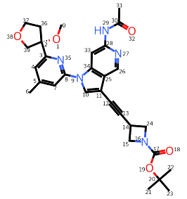 CO[C@@]1(c2cc(C)cc(-n3cc(C#CC4CN(C(=O)OC(C)(C)C)C4)c4cnc(NC(C)=O)cc43)n2)CCOC1